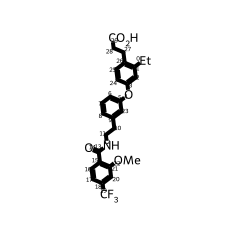 CCc1cc(Oc2cccc(CCNC(=O)c3ccc(C(F)(F)F)cc3OC)c2)ccc1CCC(=O)O